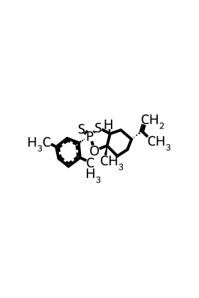 C=C(C)[C@@H]1CC[C@]2(C)O[P@](=S)(c3cc(C)ccc3C)S[C@H]2C1